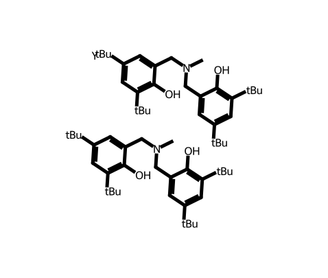 CN(Cc1cc(C(C)(C)C)cc(C(C)(C)C)c1O)Cc1cc(C(C)(C)C)cc(C(C)(C)C)c1O.CN(Cc1cc(C(C)(C)C)cc(C(C)(C)C)c1O)Cc1cc(C(C)(C)C)cc(C(C)(C)C)c1O.[Y]